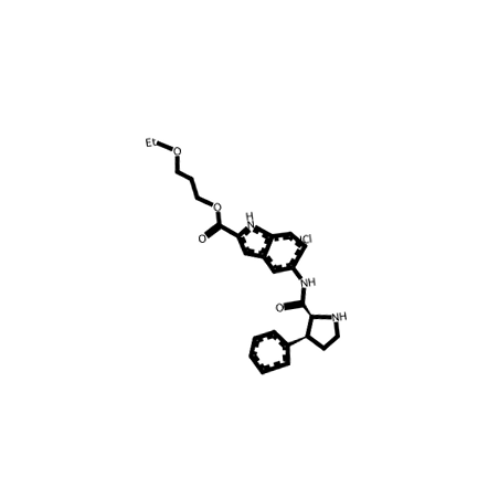 CCOCCCOC(=O)c1cc2cc(NC(=O)[C@H]3NCC[C@H]3c3ccccc3)ccc2[nH]1.Cl